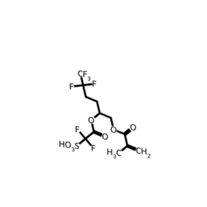 C=C(C)C(=O)OCC(CCC(F)(F)C(F)(F)F)OC(=O)C(F)(F)S(=O)(=O)O